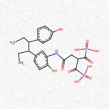 CCC(c1ccc(O)cc1)C(CC)c1ccc(O)c(NC(=O)CC(C(=O)P(=O)(O)O)C(=O)P(=O)(O)O)c1